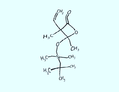 C=CC1(C)C(=O)OC1(C)O[Si](C)(C)C(C)(C)C